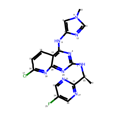 C[C@H](Nc1nc(Nc2cn(C)cn2)c2ccc(Cl)nc2n1)c1ncc(F)cn1